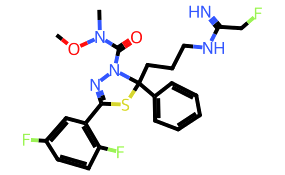 CON(C)C(=O)N1N=C(c2cc(F)ccc2F)SC1(CCCNC(=N)CF)c1ccccc1